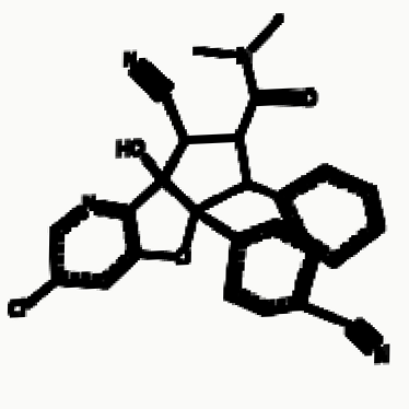 CN(C)C(=O)C1C(C#N)C2(O)c3ncc(Cl)cc3OC2(c2ccc(C#N)cc2)C1c1ccccc1